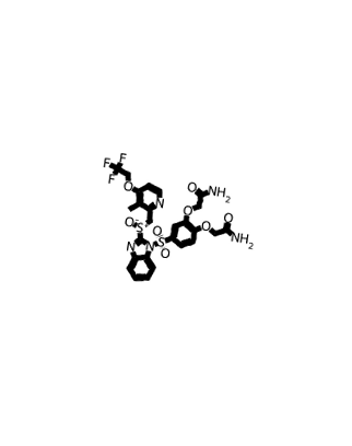 Cc1c(OCC(F)(F)F)ccnc1C[S+]([O-])c1nc2ccccc2n1S(=O)(=O)c1ccc(OCC(N)=O)c(OCC(N)=O)c1